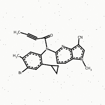 CC#CC(=O)N(c1ccc2c(n1)c(C#N)cn2C)c1cc(C)c(Br)cc1C1CC1